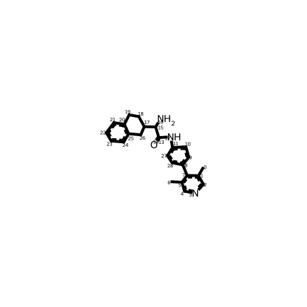 Cc1cncc(C)c1-c1ccc(NC(=O)C(N)C2CCc3ccccc3C2)cc1